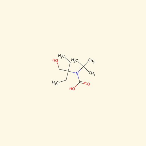 CCC(CC)(CO)N(C(=O)O)C(C)(C)C